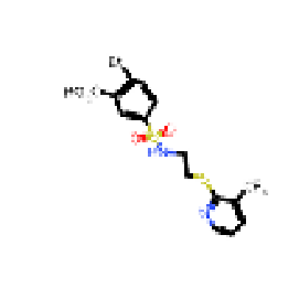 CCc1ccc(S(=O)(=O)NCCSc2ncccc2C(F)(F)F)cc1C(=O)O